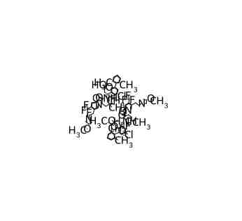 CCOC(=O)C[C@H](NC(=O)C(CC(C)C)n1cc(CCN2CC(OC)C2)c(C(F)(F)F)cc1=O)c1cc(-c2c(C)cccc2C)cc(Cl)c1F.COC1CN(CCc2cn(C(CC(C)C)C(=O)N[C@@H](CC(=O)O)c3cc(-c4c(C)cccc4C)cc(Cl)c3F)c(=O)cc2C(F)(F)F)C1